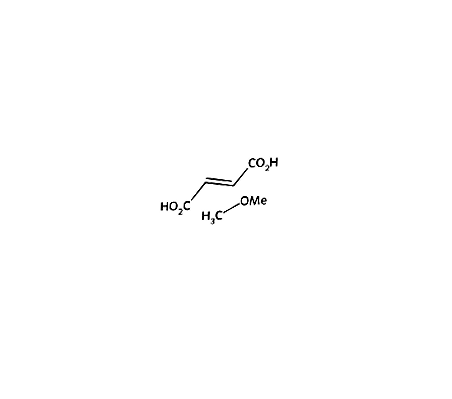 COC.O=C(O)C=CC(=O)O